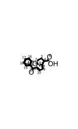 C[N+]12CCC(C(=O)O)C1=CC=C2C(=O)c1ccccc1